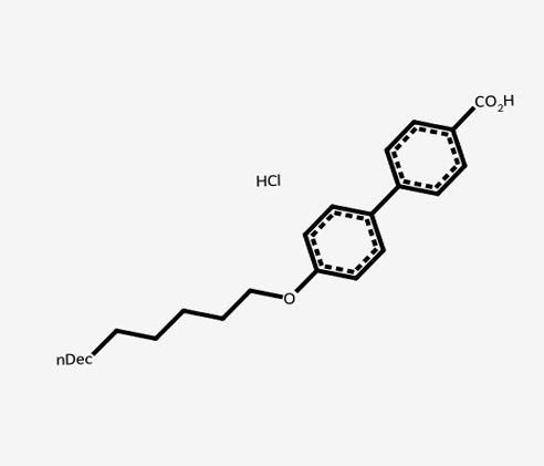 CCCCCCCCCCCCCCCOc1ccc(-c2ccc(C(=O)O)cc2)cc1.Cl